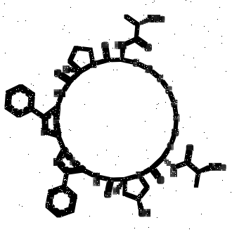 CN[C@@H](C)C(=O)N[C@H]1COCCCCOC[C@H](NC(=O)[C@H](C)NC)C(=O)N2C[C@@H](O)C[C@H]2C(=O)Nc2sc(nc2-c2ccccc2)-c2nc(-c3ccccc3)c(s2)NC(=O)[C@@H]2CCCN2C1=O